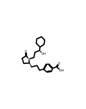 O=C(O)c1ccc(CCC[C@H]2CCC(=O)N2CC[C@H](O)C2CCCCC2)cc1